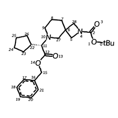 CC(C)(C)OC(=O)N1CC2(CCCN([C@H](C(=O)OCc3ccccc3)C3CCCC3)C2)C1